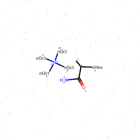 CCCCCCC(C)C(N)=O.CCCCCCCC[N+](CCCCCCCC)(CCCCCCCC)CCCCCCCC